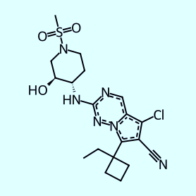 CCC1(c2c(C#N)c(Cl)c3cnc(N[C@H]4CCN(S(C)(=O)=O)C[C@@H]4O)nn23)CCC1